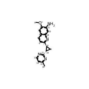 COc1cc2ccc([C@H]3C[C@@H]3c3nccc(C)n3)nc2cc1N